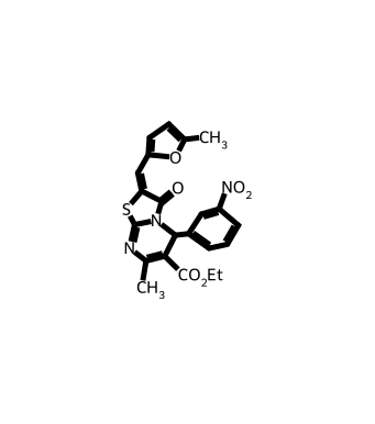 CCOC(=O)C1=C(C)N=c2sc(=Cc3ccc(C)o3)c(=O)n2C1c1cccc([N+](=O)[O-])c1